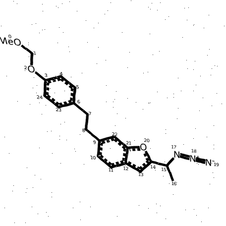 COCOc1ccc(CCc2ccc3cc(C(C)N=[N+]=[N-])oc3c2)cc1